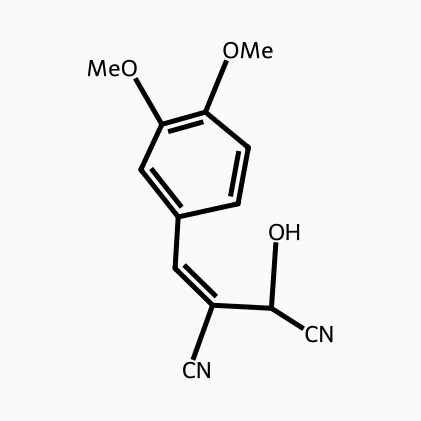 COc1ccc(/C=C(/C#N)C(O)C#N)cc1OC